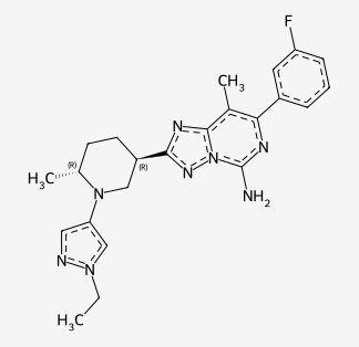 CCn1cc(N2C[C@H](c3nc4c(C)c(-c5cccc(F)c5)nc(N)n4n3)CC[C@H]2C)cn1